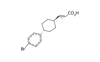 O=C(O)/C=C/[C@H]1CC[C@H](c2ccc(Br)cc2)CC1